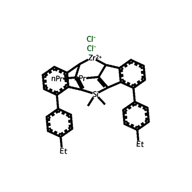 CCCC1=C2c3c(-c4ccc(CC)cc4)cccc3[CH]1[Zr+2][CH]1C(CCC)=C(c3c(-c4ccc(CC)cc4)cccc31)[Si]2(C)C.[Cl-].[Cl-]